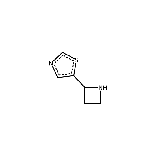 c1ncc(C2CCN2)s1